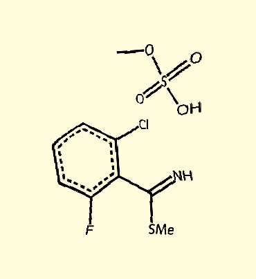 COS(=O)(=O)O.CSC(=N)c1c(F)cccc1Cl